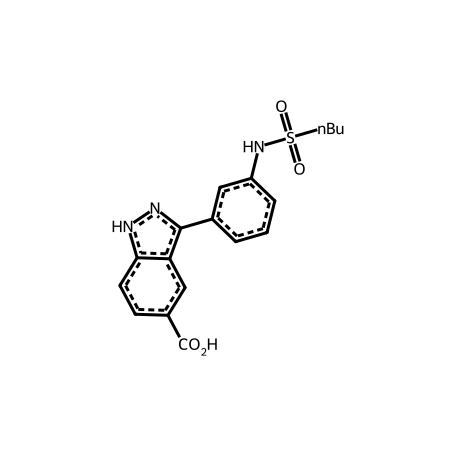 CCCCS(=O)(=O)Nc1cccc(-c2n[nH]c3ccc(C(=O)O)cc23)c1